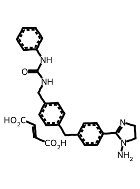 NN1CCN=C1c1ccc(Cc2ccc(CNC(=O)Nc3ccccc3)cc2)cc1.O=C(O)C=CC(=O)O